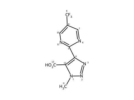 Cn1nnc(-c2ncc(C(F)(F)F)cn2)c1C(=O)O